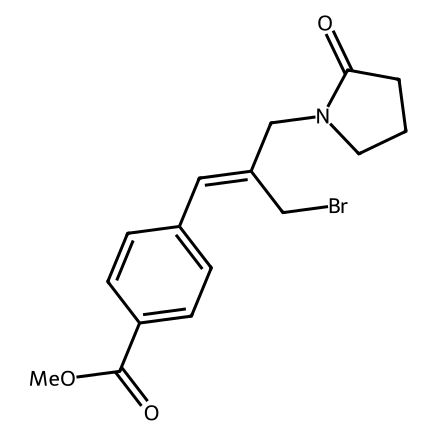 COC(=O)c1ccc(/C=C(\CBr)CN2CCCC2=O)cc1